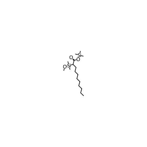 CCCCCCCCCC(C(=O)O[Si](C)(C)C)[Si](C)(C)OC